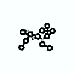 c1ccc(-c2ccc(-c3c4oc5cc(N(c6cccc(-c7ccccc7)c6)c6ccc7c(c6)C(c6ccccc6)(c6ccccc6)c6ccccc6-7)ccc5c4cc4oc5ccccc5c34)cc2)cc1